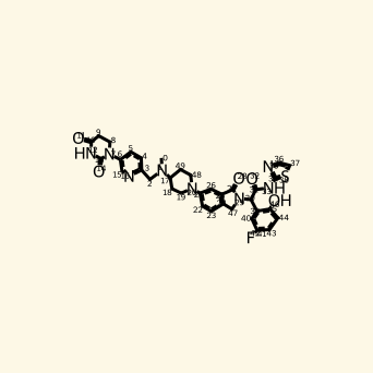 CN(Cc1ccc(N2CCC(=O)NC2=O)cn1)C1CCN(c2ccc3c(c2)C(=O)N(C(C(=O)Nc2nccs2)c2cc(F)ccc2O)C3)CC1